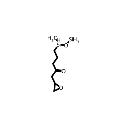 C[SiH](CCCC(=O)CC1CO1)O[SiH3]